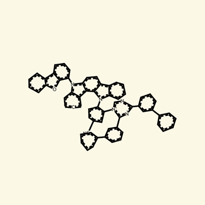 N#Cc1ccc(-n2c3ccccc3c3ccc4c(c5ccccc5n4-c4cccc5c4oc4ccccc45)c32)c(-[n+]2cnc(-c3cccc(-c4ccccc4)c3)nc2-c2cccc(-c3ccccc3)c2)c1